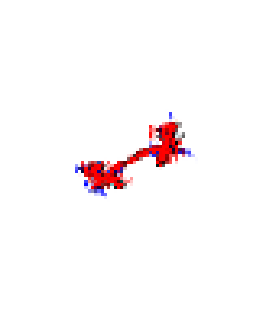 CC1O[C@@H](OC2C(NC(=O)c3cc(=O)[nH]c(=O)[nH]3)CC(C(=O)NCCN)C[C@H]2O[C@@H]2OC(CO)[C@H](O)C(O[C@@H](CC3CCCCC3)C(=O)O)C2NC(=O)Cn2cc(COCCOCCOCCOCCOCc3cn(CC(=O)NC4C(O[C@@H](CC5CCCCC5)C(=O)O)[C@@H](O)C(CO)O[C@H]4O[C@@H]4CC(C(=O)NCCN)CC(NC(=O)c5cc(=O)[nH]c(=O)[nH]5)C4O[C@@H]4OC(C)[C@@H](O)C(O)C4O)nn3)nn2)C(O)C(O)[C@@H]1O